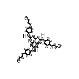 O=C/C=C/c1ccc(NC2=NC3=NC(Nc4ccc(/C=C/C=O)cc4)=NC4=NC(Nc5ccc(/C=C/C=O)cc5)=NC(=N2)N34)cc1